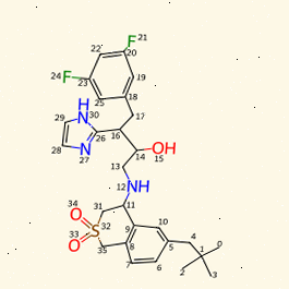 CC(C)(C)Cc1ccc2c(c1)C(NCC(O)C(Cc1cc(F)cc(F)c1)c1ncc[nH]1)CS(=O)(=O)C2